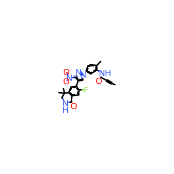 CC#CC(=O)Nc1cc(-n2cc(-c3cc4c(cc3F)C(=O)NCC4(C)C)c([N+](=O)[O-])n2)ccc1C